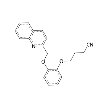 N#CCCCOc1ccccc1OCc1ccc2ccccc2n1